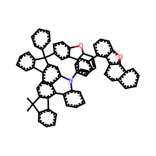 CC1(C)c2ccccc2-c2c(-c3ccccc3N(c3ccc(-c4cccc5oc6c7ccccc7ccc6c45)cc3)c3ccc4c(c3)C(c3ccccc3)(c3ccc5c(c3)C3C=CC=CC3O5)c3ccccc3-4)cccc21